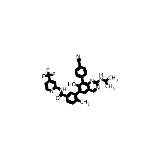 Cc1ccc(C(=O)Nc2cc(C(F)(F)F)ccn2)cc1-c1cc2cnc(NC(C)C)nc2c(-c2ccc(C#N)cc2)c1O